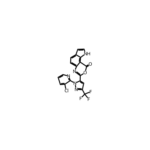 O=c1oc(-c2cc(C(F)(F)F)nn2-c2ncccc2Cl)nc2ccc3cc[nH]c3c12